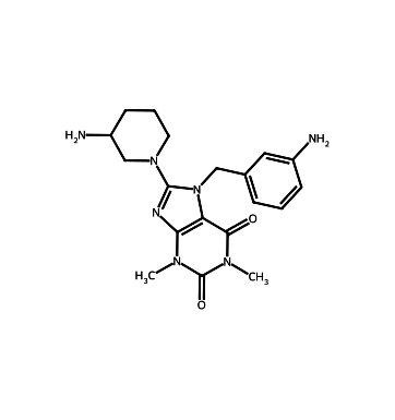 Cn1c(=O)c2c(nc(N3CCCC(N)C3)n2Cc2cccc(N)c2)n(C)c1=O